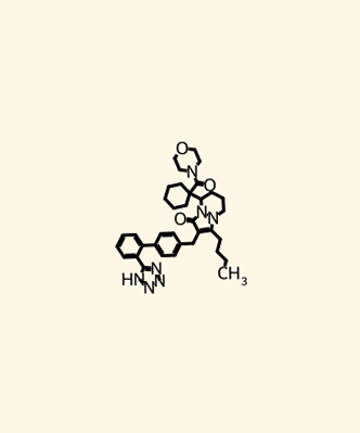 CCCCc1c(Cc2ccc(-c3ccccc3-c3nnn[nH]3)cc2)c(=O)n2n1CCCC2C1(C(=O)N2CCOCC2)CCCCC1